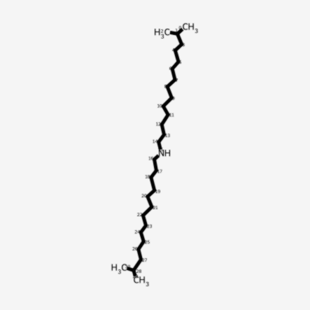 CC(C)CCCCCCCCCCCCNCCCCCCCCCCCCC(C)C